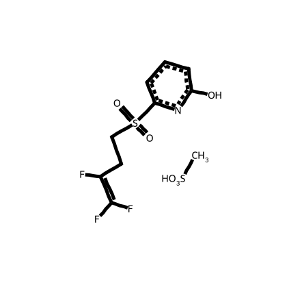 CS(=O)(=O)O.O=S(=O)(CCC(F)=C(F)F)c1cccc(O)n1